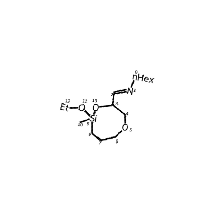 CCCCCCN=CC1COCCC[Si](C)(OCC)O1